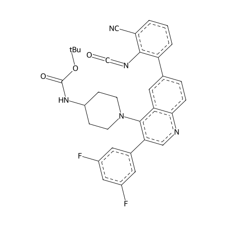 CC(C)(C)OC(=O)NC1CCN(c2c(-c3cc(F)cc(F)c3)cnc3ccc(-c4cccc(C#N)c4N=C=O)cc23)CC1